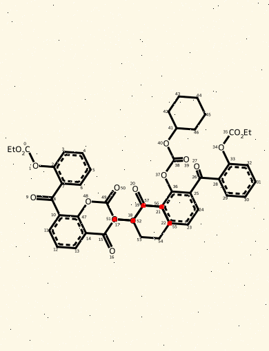 CCOC(=O)Oc1ccccc1C(=O)c1cccc(C(=O)OOC(=O)c2cccc(C(=O)c3ccccc3OC(=O)OCC)c2OC(=O)OC2CCCCC2)c1OC(=O)OC1CCCCC1